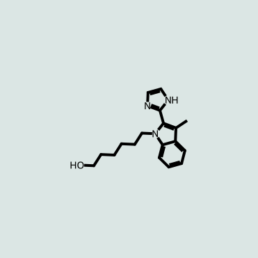 Cc1c(-c2ncc[nH]2)n(CCCCCCO)c2ccccc12